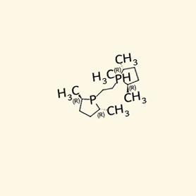 C[C@@H]1CC[C@@H](C)P1CC[PH]1(C)[C@H](C)CC[C@H]1C